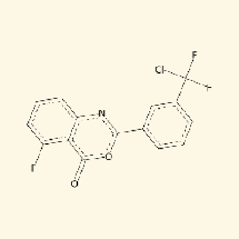 O=c1oc(-c2cccc(C(F)(F)Cl)c2)nc2cccc(F)c12